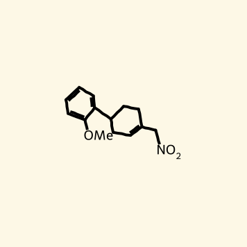 COc1ccccc1C1CC=C(C[N+](=O)[O-])CC1